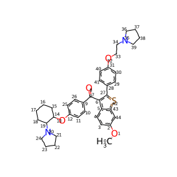 COc1ccc2c(C(=O)c3ccc(OC4CCCCC4N4CCCC4)cc3)c(-c3ccc(OCCN4CCCC4)cc3)sc2c1